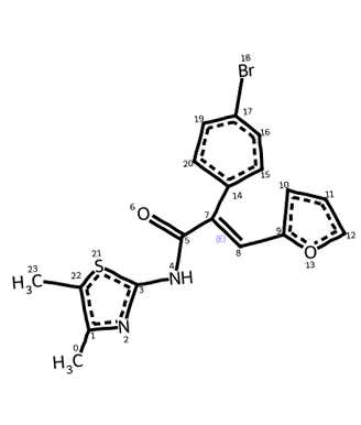 Cc1nc(NC(=O)/C(=C/c2ccco2)c2ccc(Br)cc2)sc1C